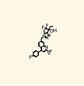 CC[C@](O)(c1cn(Cc2ccc3c(-c4ccc(F)cc4)cc(N(C)C)nc3c2)nn1)C(F)(F)F